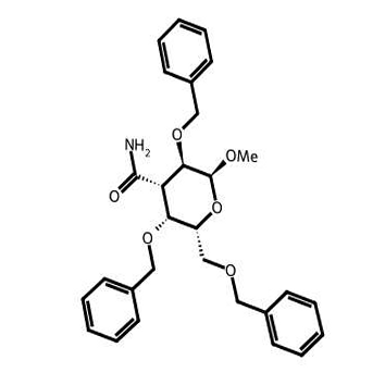 CO[C@H]1O[C@H](COCc2ccccc2)[C@H](OCc2ccccc2)[C@H](C(N)=O)[C@H]1OCc1ccccc1